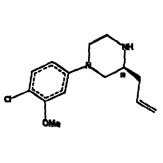 C=CC[C@H]1CN(c2ccc(Cl)c(OC)c2)CCN1